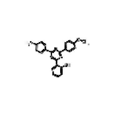 COc1ccc(-c2nc(-c3ccc(N)cc3)nc(-c3ccccc3O)n2)cc1